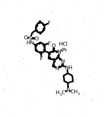 CC(C)n1c(=O)c(-c2c(F)cc(NS(=O)(=O)Cc3ccc(F)cc3)cc2F)cc2cnc(NC3CCC(N(C)C)CC3)nc21.Cl